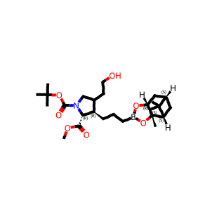 COC(=O)[C@H]1[C@H](CCCB2O[C@@H]3C[C@@H]4C[C@@H](C4(C)C)[C@]3(C)O2)C(CCO)CN1C(=O)OC(C)(C)C